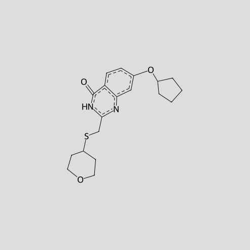 O=c1[nH]c(CSC2CCOCC2)nc2cc(OC3CCCC3)ccc12